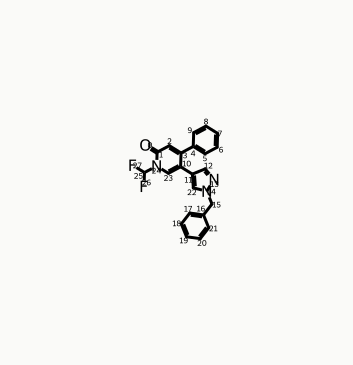 O=c1cc(-c2ccccc2)c(-c2cnn(Cc3ccccc3)c2)cn1C(F)F